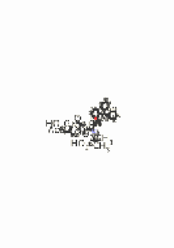 CC(=O)OCC1=C(C(=O)O)N2C(=O)[C@@H](NC(=O)/C(=N\OC(C)(C)C(=O)O)c3csc(NC(c4ccccc4)(c4ccccc4)c4ccccc4)n3)[C@H]2SC1